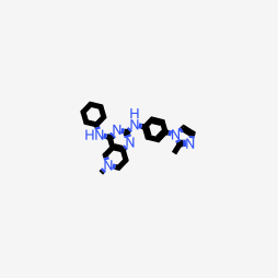 Cc1nccn1-c1ccc(Nc2nc3c(c(NC4CCCCC4)n2)CN(C)CC3)cc1